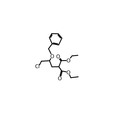 CCOC(=O)C(CC(CCl)OCc1ccccc1)C(=O)OCC